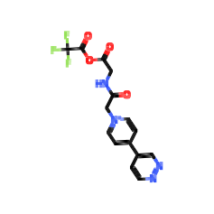 O=C(C[n+]1ccc(-c2ccnnc2)cc1)NCC(=O)OC(=O)C(F)(F)F